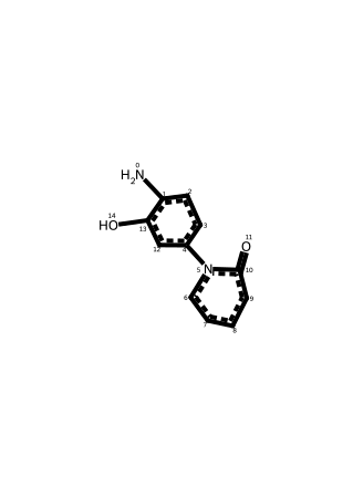 Nc1ccc(-n2ccccc2=O)cc1O